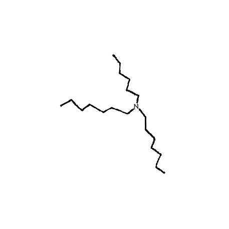 CCCCCCCN(CCCCCC)CCCCCCC